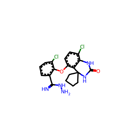 N=C(NN)c1cccc(Cl)c1Oc1ccc(Cl)c2c1C1(CCCC1)NC(=O)N2